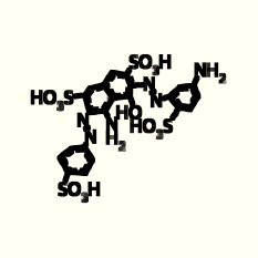 Nc1ccc(S(=O)(=O)O)c(N=Nc2c(S(=O)(=O)O)cc3cc(S(=O)(=O)O)c(N=Nc4ccc(S(=O)(=O)O)cc4)c(N)c3c2O)c1